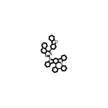 c1ccc2c(c1)-c1ccccc1-n1c3ccccc3c3cc4c(c-2c31)c1ccccc1n4-c1nc(-c2ccc3oc4ccccc4c3c2)c2c(ccc3ccccc32)n1